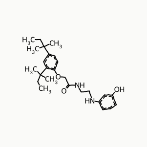 CCC(C)(C)c1ccc(OCC(=O)NCCNc2cccc(O)c2)c(C(C)(C)CC)c1